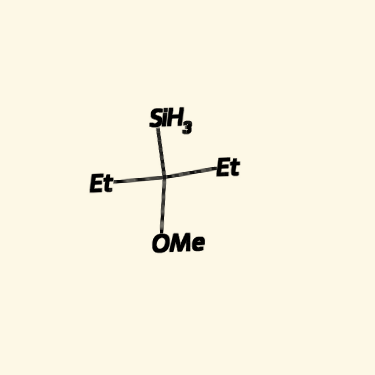 [CH2]CC([SiH3])(CC)OC